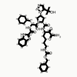 CC(C)(O)c1cnnn1[C@H]1C[C@@H](C(=O)NC(CCCCNC(=O)OCc2ccccc2)C(=O)C(N)=O)N(C(=O)[C@@H](CC2CCCCC2)NC(=O)c2nc3ccccc3[nH]2)C1